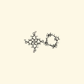 C1=Cc2cc3ccc(cc4nc(cc5ccc(cc1n2)[nH]5)C=C4)[nH]3.COc1cc[c]([Co]([c]2ccc(OC)cc2)([c]2ccc(OC)cc2)[c]2ccc(OC)cc2)cc1